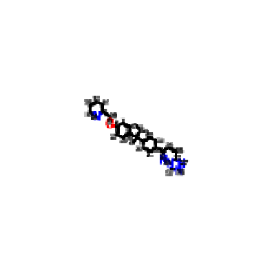 CC(C)C(C)(c1ccc(OCc2ccccn2)cc1)c1ccc(-c2ccc3nncn3n2)cc1